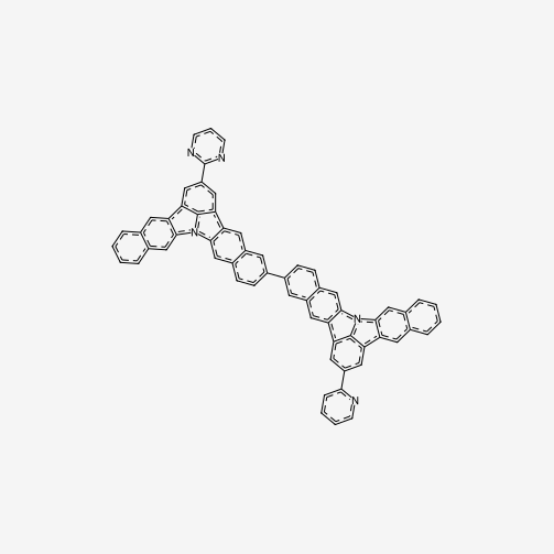 c1ccc(-c2cc3c4cc5ccccc5cc4n4c5cc6ccc(-c7ccc8cc9c(cc8c7)c7cc(-c8ncccn8)cc8c%10cc%11ccccc%11cc%10n9c87)cc6cc5c(c2)c34)nc1